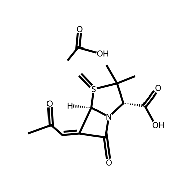 C=S1[C@@H]2C(=CC(C)=O)C(=O)N2[C@@H](C(=O)O)C1(C)C.CC(=O)O